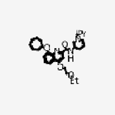 CCOCCOc1cc(C(=O)N[C@@H]2CCCN(C(C)C)C2)nc2c(OC3CCCCCC3)cccc12